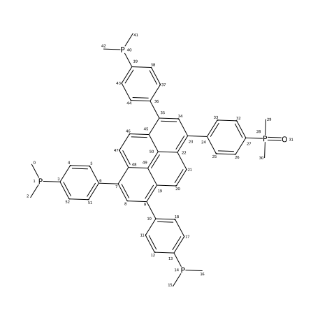 CP(C)c1ccc(-c2cc(-c3ccc(P(C)C)cc3)c3ccc4c(-c5ccc(P(C)(C)=O)cc5)cc(-c5ccc(P(C)C)cc5)c5ccc2c3c54)cc1